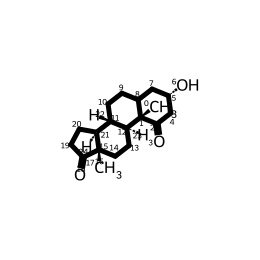 C[C@]12C(=O)C[C@@H](O)CC1CC[C@@H]1[C@@H]2CC[C@]2(C)C(=O)CC[C@@H]12